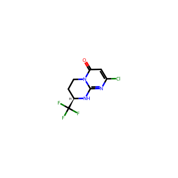 O=c1cc(Cl)nc2n1CC[C@H](C(F)(F)F)N2